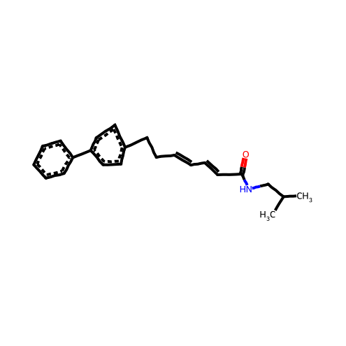 CC(C)CNC(=O)/C=C/C=CCCc1ccc(-c2ccccc2)cc1